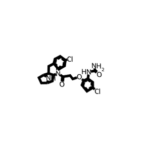 NC(=O)Nc1cc(Cl)ccc1OCCC(=O)NC1CC2CCC(N2)C1Cc1ccc(Cl)cc1